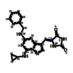 O=C1NC(=O)/C(=C/c2cnn3c(NC4CC4)nc(NCc4ccccn4)nc23)N1